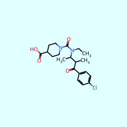 CCN(C(=O)N1CCC(C(=O)O)CC1)C(C)C(C)C(=O)c1ccc(Cl)cc1